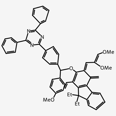 C=Cc1c2c(c(=C)/c(=C\C(=C\OC)OC)c1OC(c1ccc(OC)cc1)c1ccc(-c3nc(-c4ccccc4)nc(-c4ccccc4)n3)cc1)-c1ccccc1C2(CC)CC